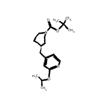 CC(C)Oc1cc(C[C@H]2CCN(C(=O)OC(C)(C)C)C2)ccn1